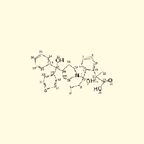 CCCC(O)(c1ccccc1C(C)(C)C(=O)O)N1CCC(C(O)(c2ccccc2)c2ccccc2)CC1